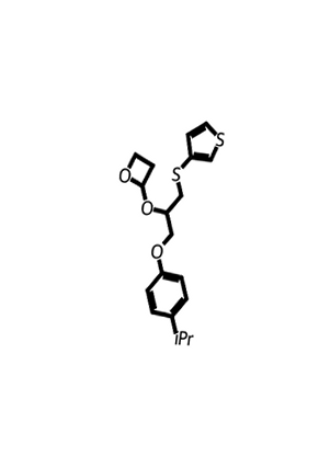 CC(C)c1ccc(OCC(CSc2ccsc2)OC2CCO2)cc1